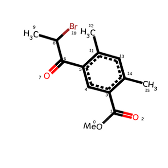 COC(=O)c1cc(C(=O)C(C)Br)c(C)cc1C